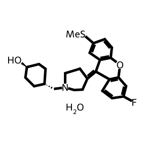 CSc1ccc2c(c1)C(=C1CCN(C[C@H]3CC[C@H](O)CC3)CC1)c1ccc(F)cc1O2.O